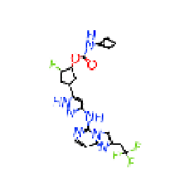 O=C(NC12CC(C1)C2)O[C@H]1C[C@@H](c2cc(Nc3nccc4nc(CC(F)(F)F)cn34)n[nH]2)C[C@H]1F